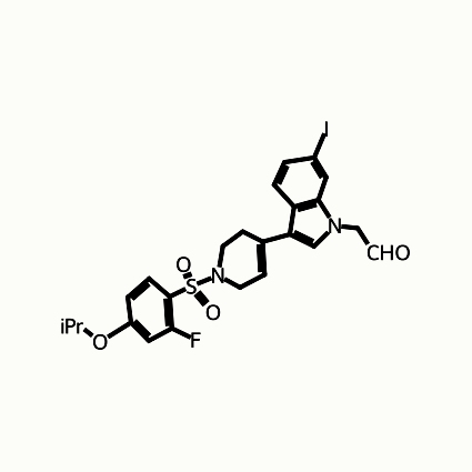 CC(C)Oc1ccc(S(=O)(=O)N2CC=C(c3cn(CC=O)c4cc(I)ccc34)CC2)c(F)c1